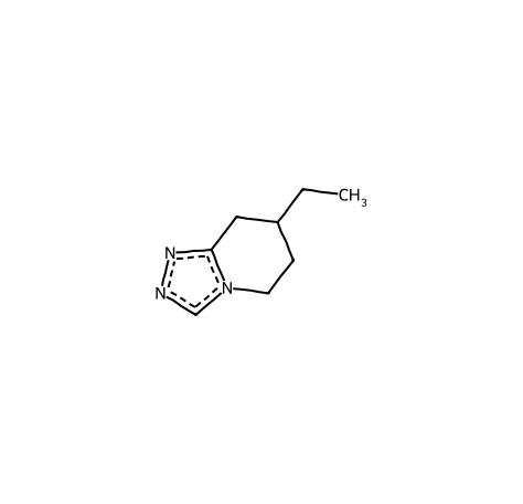 CCC1CCn2cnnc2C1